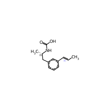 C/C=C/c1cccc(C[C@H](C)NC(=O)O)c1